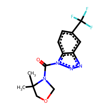 CC1(C)COCN1C(=O)n1nnc2cc(C(F)(F)F)ccc21